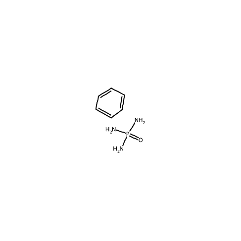 NP(N)(N)=O.c1ccccc1